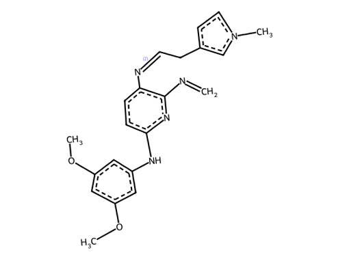 C=Nc1nc(Nc2cc(OC)cc(OC)c2)ccc1/N=C\Cc1ccn(C)c1